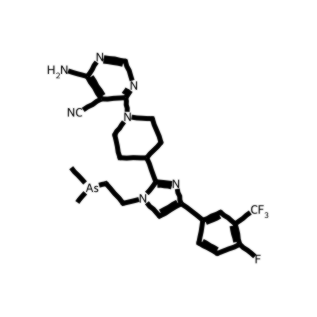 C[As](C)CCn1cc(-c2ccc(F)c(C(F)(F)F)c2)nc1C1CCN(c2ncnc(N)c2C#N)CC1